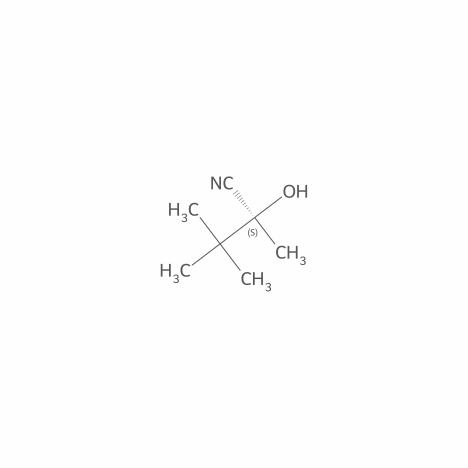 CC(C)(C)[C@](C)(O)C#N